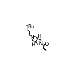 C=CC(=O)N1C[C@H]2CN(CCCC(C)(C)C)C[C@H]2C1